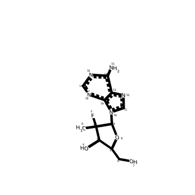 CC1(F)C(O)C(CO)OC1n1cnc2c(N)ncnc21